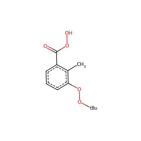 Cc1c(OOC(C)(C)C)cccc1C(=O)OO